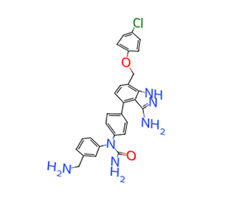 NCc1cccc(N(C(N)=O)c2ccc(-c3ccc(COc4ccc(Cl)cc4)c4[nH]nc(N)c34)cc2)c1